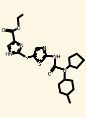 CCOC(=O)c1c[nH]c(Sc2cnc(NC(=O)N(C3CCCC3)C3CCC(C)CC3)s2)n1